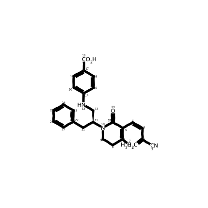 C=C(C#N)/C=C\C1=C(C)CCN([C@H](CNc2ccc(C(=O)O)cc2)Cc2ccccc2)C1=O